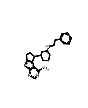 Nc1ncnc2sc3c(c12)C(C1CCC[C@H](NCCc2ccccc2)C1)CC3